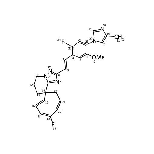 COc1cc(/C=C/c2nc3n(n2)CCCC32/C=C/C=C(F)\C=C/C2)c(F)cc1-n1cnc(C)c1